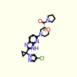 O=C([C@H]1CN(c2ccc3nc(C4(n5cc(Cl)cn5)CC4)[nH]c3n2)CCO1)N1CCCC1